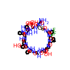 CCCC[C@H]1C(=O)N2CCC[C@@H]2C(=O)N[C@@H](CC(=O)O)C(=O)N[C@@H](C(C)C)C(=O)N(C)[C@@H](Cc2ccccc2)C(=O)N[C@@H](Cc2ccc(O)cc2)C(=O)N2CCC[C@@H]2C(=O)N[C@@H](Cc2c[nH]c3ccccc23)C(=O)N[C@@H](Cc2ccc(O)cc2)C(=O)N[C@@H](CCC(=O)O)C(=O)N[C@H](C(=O)NCC(N)=O)CSCC(=O)N[C@@H](Cc2cc(F)c(F)c(F)c2)C(=O)N(C)C(Cc2ccccc2)C(=O)N1C